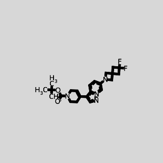 CC(C)(C)OC(=O)N1CC=C(c2cnn3cc(N4CC5(C4)CC(F)(F)C5)ccc23)CC1